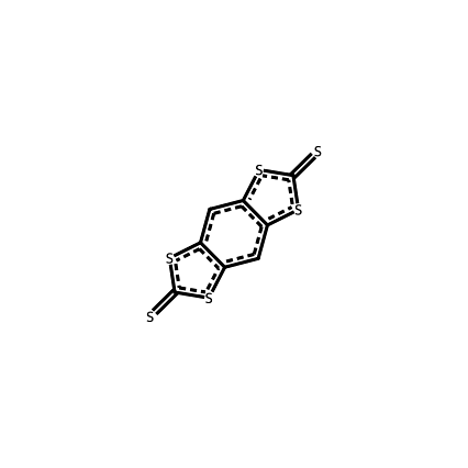 S=c1sc2cc3sc(=S)sc3cc2s1